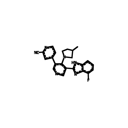 CC1CCN(c2c(-c3ccnc(C#N)c3)cncc2-c2nc3c(F)cccc3[nH]2)C1